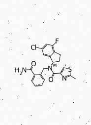 Cc1nc(C(=O)N(Cc2ccccc2C(N)=O)[C@@H]2CCc3c(F)cc(Cl)cc32)cs1